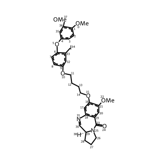 COc1ccc(Oc2ccc(OCCCCOc3cc4c(cc3OC)C(=O)N3CCC[C@H]3C=N4)cc2I)cc1OC